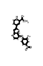 CC(=O)C1C=C(c2cc3nccc(Oc4ccc([N+](=O)[O-])cc4F)c3s2)CCN1